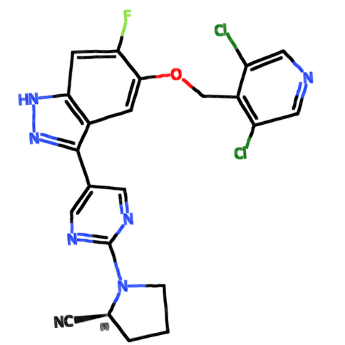 N#C[C@@H]1CCCN1c1ncc(-c2n[nH]c3cc(F)c(OCc4c(Cl)cncc4Cl)cc23)cn1